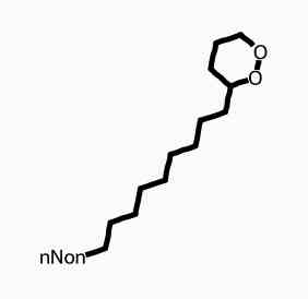 CCCCCCCCCCCCCCCCCCC1CCCOO1